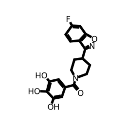 O=C(c1cc(O)c(O)c(O)c1)N1CCC(c2noc3cc(F)ccc23)CC1